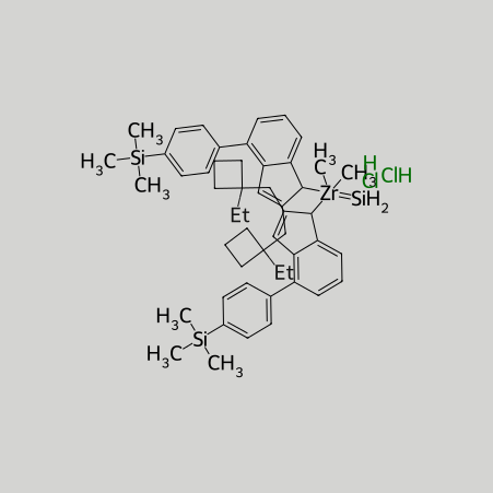 CCC1(CC2=Cc3c(-c4ccc([Si](C)(C)C)cc4)cccc3[CH]2[Zr]([CH3])([CH3])(=[SiH2])[CH]2C(CC3(CC)CCC3)=Cc3c(-c4ccc([Si](C)(C)C)cc4)cccc32)CCC1.Cl.Cl